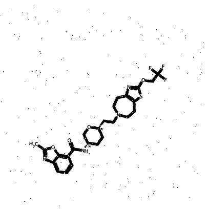 Cc1nc2cccc(C(=O)N[C@H]3CC[C@H](CCN4CCc5nc(OCC(F)(F)F)sc5CC4)OC3)c2o1